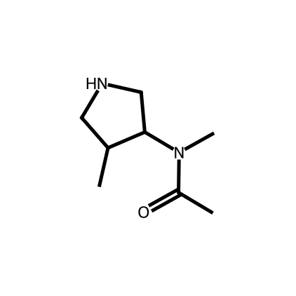 CC(=O)N(C)C1CNCC1C